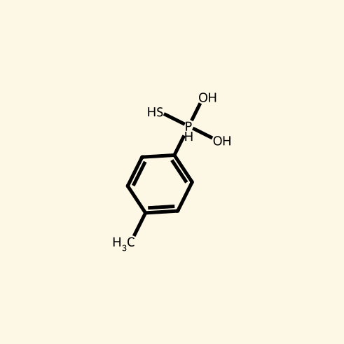 Cc1ccc([PH](O)(O)S)cc1